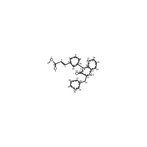 COC(=O)C=Cc1cccc(-n2c(=O)c(Cc3cccnc3)nc3cccnc32)c1